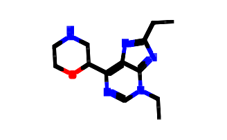 CCc1nc2c(C3CNCCO3)ncn(CC)c-2n1